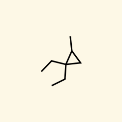 CCC1(CC)C[C]1C